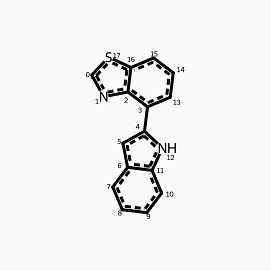 [c]1nc2c(-c3cc4ccccc4[nH]3)cccc2s1